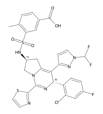 Cc1ccc(C(=O)O)cc1S(=O)(=O)N[C@H]1CC2=C(c3ccn(C(F)F)n3)[C@H](c3ccc(F)cc3Cl)N=C(c3nccs3)N2C1